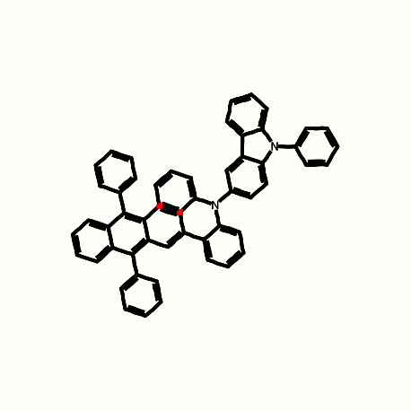 c1ccc(-c2c3ccccc3c(-c3ccccc3)c3cc(-c4ccccc4N(c4ccccc4)c4ccc5c(c4)c4ccccc4n5-c4ccccc4)ccc23)cc1